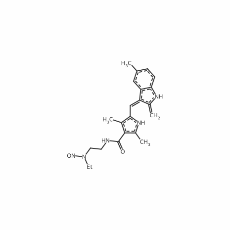 C=c1[nH]c2ccc(C)cc2/c1=C/c1[nH]c(C)c(C(=O)NCCN(CC)N=O)c1C